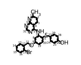 Cc1ccc2c(Nc3cc(OCc4ccccc4Br)ccc3Sc3ccc(O)cc3)ncnc2n1